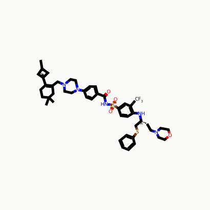 CC1(C)CCC(C23CC(C)(C2)C3)=C(CN2CCN(c3ccc(C(=O)NS(=O)(=O)c4ccc(N[C@H](CCN5CCOCC5)CSc5ccccc5)c(C(F)(F)F)c4)cc3)CC2)C1